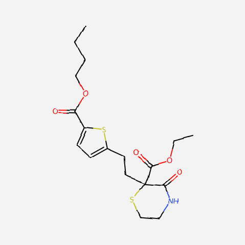 CCCCOC(=O)c1ccc(CCC2(C(=O)OCC)SCCNC2=O)s1